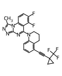 Cc1nnc2nc(N3CCCc4c(C#CC5(C(F)(F)F)CC5)cccc43)c3c(F)c(F)ccc3n12